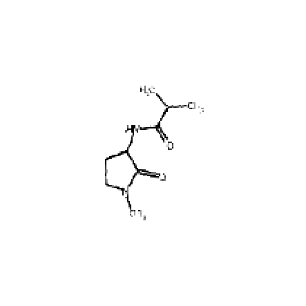 CC(C)C(=O)NC1CCN(C)C1=O